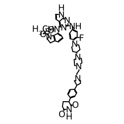 CS(=O)(=O)N1CCc2cccc(Nc3nc(Nc4ccc(N5CCC(N6CCN(CCN7CCC(c8ccc(C9CCC(=O)NC9=O)cc8)C7)CC6)CC5)c(F)c4)nc4[nH]ccc34)c21